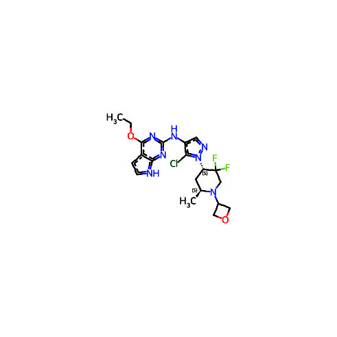 CCOc1nc(Nc2cnn([C@H]3C[C@H](C)N(C4COC4)CC3(F)F)c2Cl)nc2[nH]ccc12